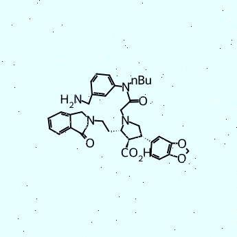 CCCCN(C(=O)CN1C[C@H](c2ccc3c(c2)OCO3)[C@@H](C(=O)O)[C@@H]1CCN1Cc2ccccc2C1=O)c1cccc(CN)c1